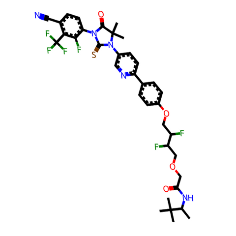 CC(NC(=O)COCC(F)C(F)COc1ccc(-c2ccc(N3C(=S)N(c4ccc(C#N)c(C(F)(F)F)c4F)C(=O)C3(C)C)cn2)cc1)C(C)(C)C